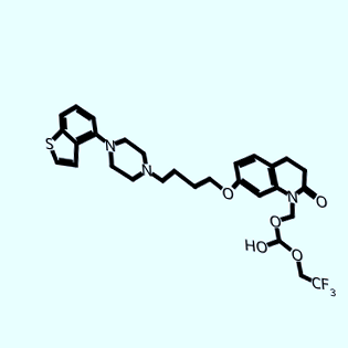 O=C1CCc2ccc(OCCCCN3CCN(c4cccc5sccc45)CC3)cc2N1COC(O)OCC(F)(F)F